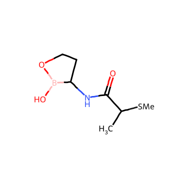 CSC(C)C(=O)NC1CCOB1O